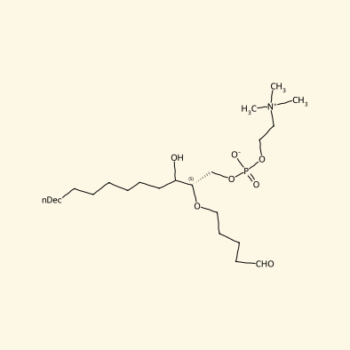 CCCCCCCCCCCCCCCCC(O)[C@H](COP(=O)([O-])OCC[N+](C)(C)C)OCCCCC=O